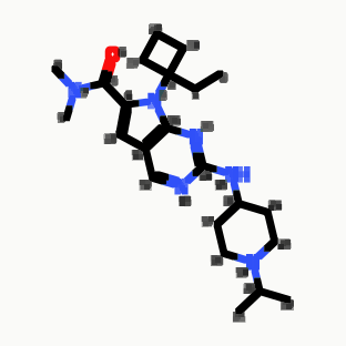 CCC1(n2c(C(=O)N(C)C)cc3cnc(NC4CCN(C(C)C)CC4)nc32)CCC1